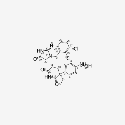 CCC1(c2ccc(N)cc2)CCC(=O)NC1=O.Cl.O=C1CN2Cc3c(ccc(Cl)c3Cl)N=C2N1